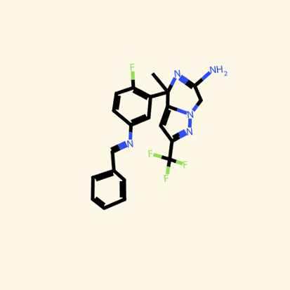 CC1(c2cc(N=Cc3ccccc3)ccc2F)N=C(N)Cn2nc(C(F)(F)F)cc21